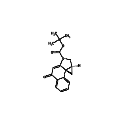 CC(C)(C)OC(=O)N1C[C@H]2C[C@@]23C1=CC(=O)c1ccccc13